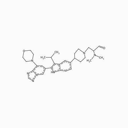 CC(C)c1c(-c2cc(N3CCOCC3)c3ncnn3c2)[nH]c2ccc(C3CCN(CC(C=O)N(C)C)CC3)cc12